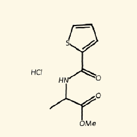 COC(=O)C(C)NC(=O)c1cccs1.Cl